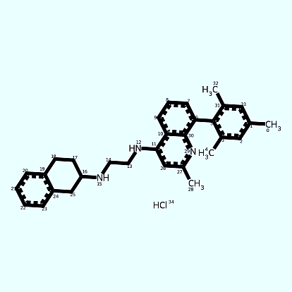 Cc1cc(C)c(-c2cccc3c(NCCNC4CCc5ccccc5C4)cc(C)nc23)c(C)c1.Cl